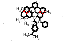 Cc1cc2c3c(c1)N(c1ccccc1)c1c(oc4cc(C(C)C)ccc14)B3C1=C(CC3C(=C1)C(C)(C)CCC3(C)C)N2c1c(-c2ccccc2)cccc1-c1ccccc1